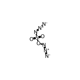 [N-]=[N+]=NOS(=O)(=O)N=[N+]=[N-]